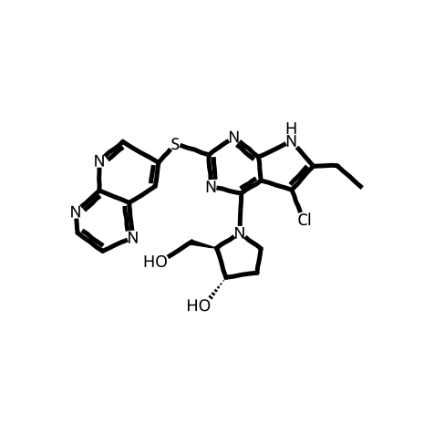 CCc1[nH]c2nc(Sc3cnc4nccnc4c3)nc(N3CC[C@H](O)[C@H]3CO)c2c1Cl